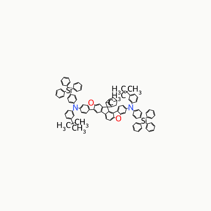 CC(C)(C)c1cccc(N(c2ccc([Si](c3ccccc3)(c3ccccc3)c3ccccc3)cc2)c2ccc3c(c2)oc2cc4c(cc23)-c2ccc3oc5cc(N(c6ccc([Si](c7ccccc7)(c7ccccc7)c7ccccc7)cc6)c6cccc(C(C)(C)C)c6)ccc5c3c2C42C3CC4CC(C3)C2C4)c1